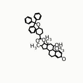 CC1CC2C3CCC4=CC(=O)C=CC4(C)C3C(O)CC2(C)C1OC(=O)C1CCC(OC(c2ccccc2)(c2ccccc2)c2ccccc2)CC1